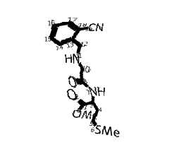 COC(=O)C(CCSC)NC(=O)CNCc1ccccc1C#N